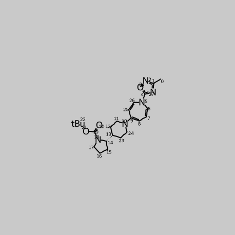 Cc1noc(N2C=CC=C(N3CCC([C@@H]4CCCN4C(=O)OC(C)(C)C)CC3)C=C2)n1